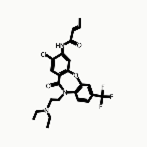 CC=CC(=O)Nc1cc2c(cc1Cl)C(=O)N(CCN(CC)CC)c1ccc(C(F)(F)F)cc1O2